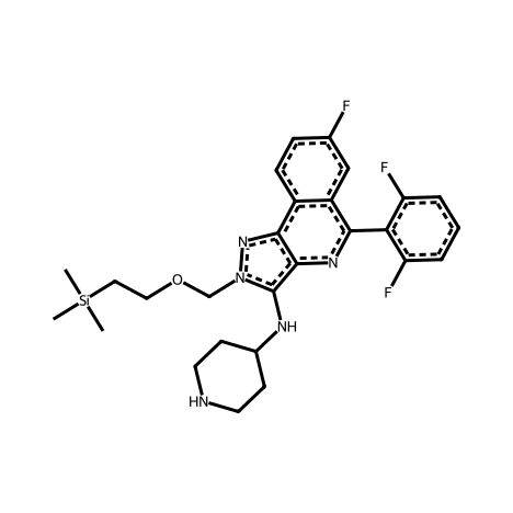 C[Si](C)(C)CCOCn1nc2c(nc(-c3c(F)cccc3F)c3cc(F)ccc32)c1NC1CCNCC1